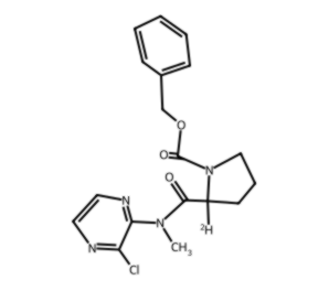 [2H]C1(C(=O)N(C)c2nccnc2Cl)CCCN1C(=O)OCc1ccccc1